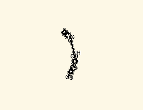 O=C(NCCCCCCOC(=O)N1CCC2(CCCC2)CC1)OC1CCN(C(=O)Oc2ccc([N+](=O)[O-])cc2)CC1